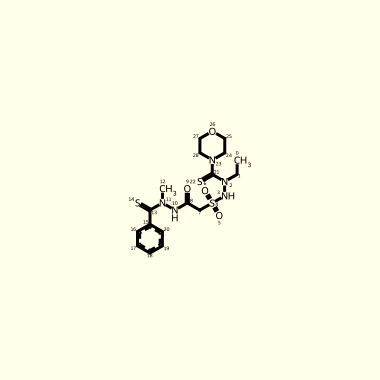 CCN(NS(=O)(=O)CC(=O)NN(C)C(=S)c1ccccc1)C(=S)N1CCOCC1